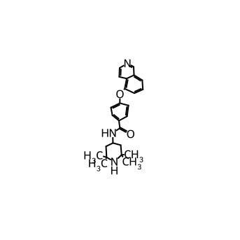 CC1(C)CC(NC(=O)c2ccc(Oc3cccc4cnccc34)cc2)CC(C)(C)N1